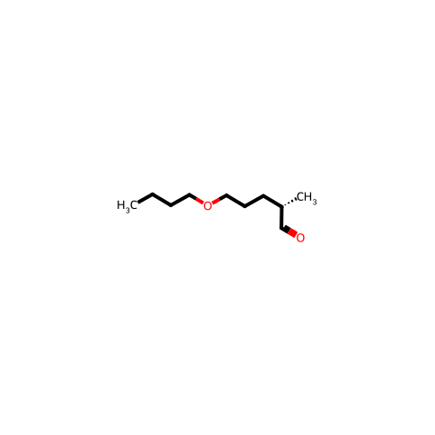 CCCCOCCC[C@H](C)C=O